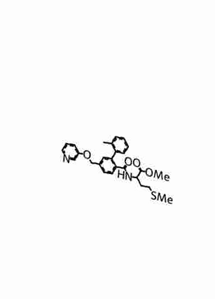 COC(=O)C(CCSC)NC(=O)c1ccc(COc2cccnc2)cc1-c1ccccc1C